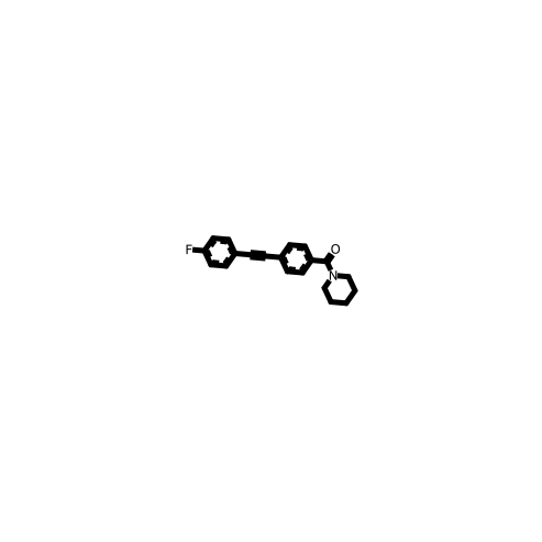 O=C(c1ccc(C#Cc2ccc(F)cc2)cc1)N1CCCCC1